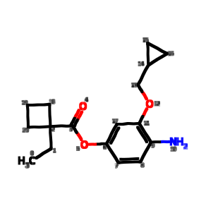 CCC1(C(=O)Oc2ccc(N)c(OCC3CC3)c2)CCC1